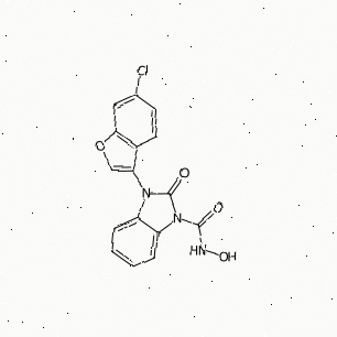 O=C(NO)n1c(=O)n(-c2coc3cc(Cl)ccc23)c2ccccc21